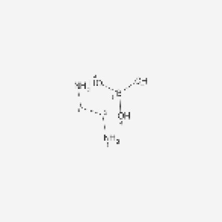 NCCN.OB(O)O